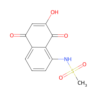 CS(=O)(=O)Nc1cccc2c1C(=O)C(O)=CC2=O